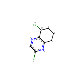 Clc1cnc2c(n1)CCCC2Br